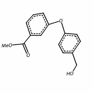 COC(=O)c1cccc(Oc2ccc(CO)cc2)c1